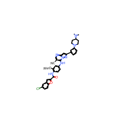 COc1cc(Nc2c(C#N)cnc3cc(-c4cccc(N5CCC(N(C)C)CC5)c4)nn23)ccc1NC(=O)c1cc2cc(Cl)ccc2o1